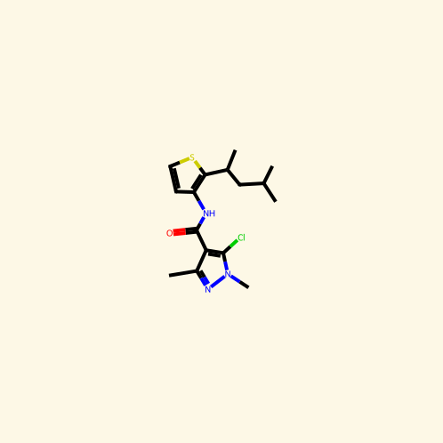 Cc1nn(C)c(Cl)c1C(=O)Nc1ccsc1C(C)CC(C)C